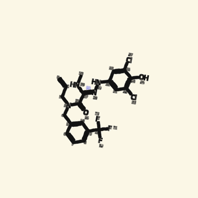 C=CCN(Cc1cccc(C(F)(F)F)c1)C(=O)/C(=N/Nc1cc(Cl)c(O)c(Cl)c1)NC